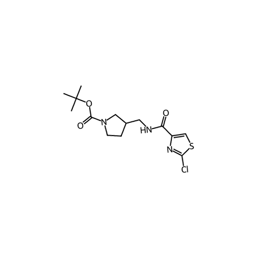 CC(C)(C)OC(=O)N1CCC(CNC(=O)c2csc(Cl)n2)C1